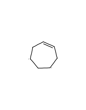 [CH]1C[CH]CC=CC1